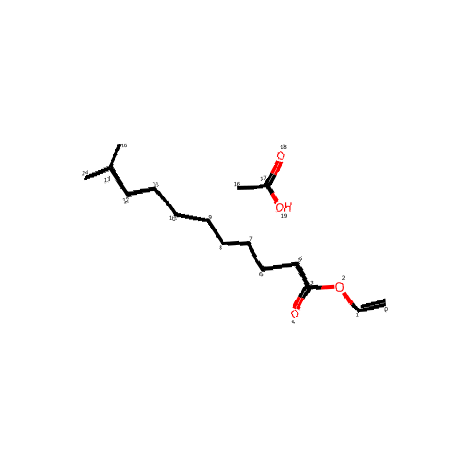 C=COC(=O)CCCCCCCCC(C)C.CC(=O)O